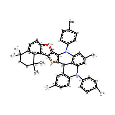 Cc1cc2c3c(c1)N(c1ccc(C(C)(C)C)cc1)c1c(sc4c1oc1ccc5c(c14)C(C)(C)CCC5(C)C)B3c1cc(C(C)(C)C)ccc1N2c1ccc(C(C)(C)C)cc1